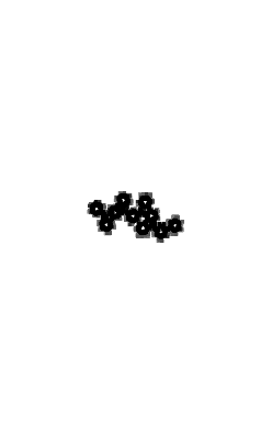 C1=CC2c3c(ccc4c5ccccc5n(-c5cccc(-n6c7ccccc7c7cc8c(cc76)c6ccccc6n8-c6ccccc6)c5)c34)N(c3cccc(-c4ccccc4)n3)C2C=C1